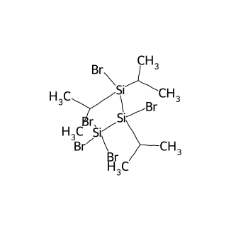 CC(C)[Si](Br)(C(C)C)[Si](Br)(C(C)C)[Si](Br)(Br)Br